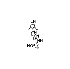 Cc1cc(C#N)cc(O)c1-c1ccc2oc(N[C@@H]3C[C@H](O)CN(C)C3)nc2n1